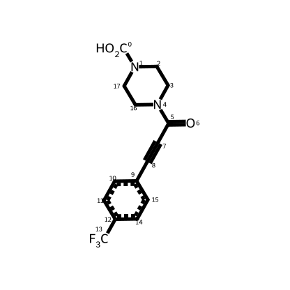 O=C(O)N1CCN(C(=O)C#Cc2ccc(C(F)(F)F)cc2)CC1